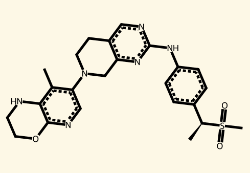 Cc1c(N2CCc3cnc(Nc4ccc([C@H](C)S(C)(=O)=O)cc4)nc3C2)cnc2c1NCCO2